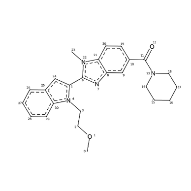 COCCn1c(-c2nc3cc(C(=O)N4C[CH]CCC4)ccc3n2C)cc2ccccc21